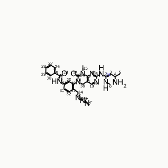 CN/C(=C\C(C)N)Nc1ncc2c(n1)N(I)C(=O)N(c1cc(NC(=O)c3ccccc3)ccc1CN=[N+]=[N-])C2